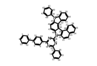 c1ccc(-c2ccc(-c3nc(-c4ccccc4)nc(-n4c5ccc6ccccc6c5c5c6c7ccccc7n(-c7ccccc7)c6ccc54)n3)cc2)cc1